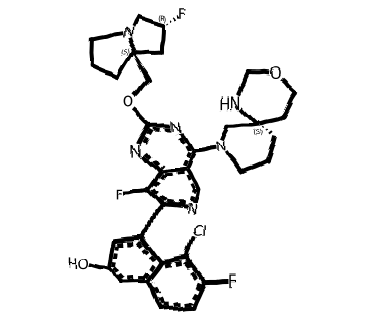 Oc1cc(-c2ncc3c(N4CCC[C@]5(CCOCN5)C4)nc(OC[C@@]45CCCN4C[C@H](F)C5)nc3c2F)c2c(Cl)c(F)ccc2c1